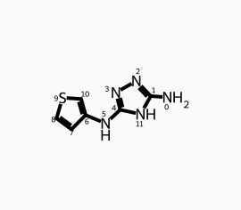 Nc1nnc(Nc2ccsc2)[nH]1